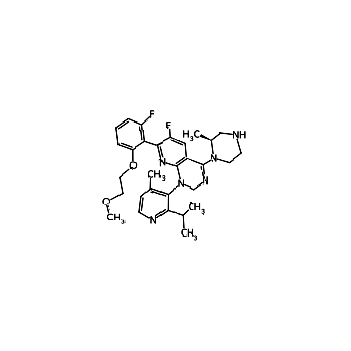 COCCOc1cccc(F)c1-c1nc2c(cc1F)C(N1CCNC[C@@H]1C)=NCN2c1c(C)ccnc1C(C)C